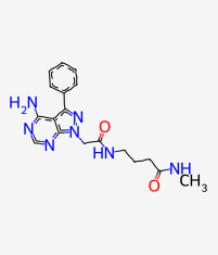 CNC(=O)CCCNC(=O)Cn1nc(-c2ccccc2)c2c(N)ncnc21